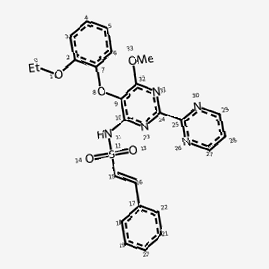 CCOc1ccccc1Oc1c(NS(=O)(=O)C=Cc2ccccc2)nc(-c2ncccn2)nc1OC